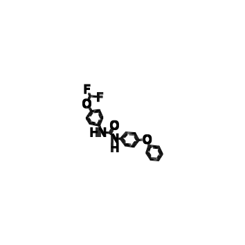 O=C(Nc1ccc(Oc2ccccc2)cc1)Nc1ccc(OC(F)F)cc1